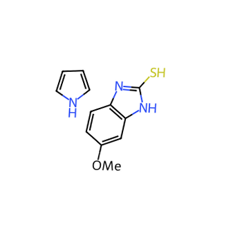 COc1ccc2nc(S)[nH]c2c1.c1cc[nH]c1